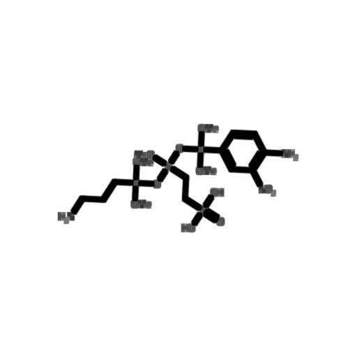 CO[Si](CCCN)(OC)O[Si](CCP(=O)(O)O)(OC)O[Si](OC)(OC)c1ccc(N)c([N+](=O)[O-])c1